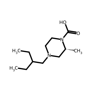 CCC(CC)CN1CCN(C(=O)O)[C@H](C)C1